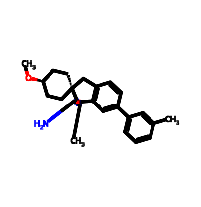 CO[C@H]1CC[C@]2(CC1)Cc1ccc(-c3cccc(C)c3)cc1C21N=C(C)C(N)=N1